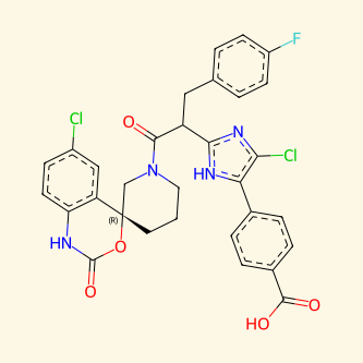 O=C1Nc2ccc(Cl)cc2[C@@]2(CCCN(C(=O)C(Cc3ccc(F)cc3)c3nc(Cl)c(-c4ccc(C(=O)O)cc4)[nH]3)C2)O1